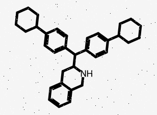 c1ccc2c(c1)CNC(C(c1ccc(C3CCCCC3)cc1)c1ccc(C3CCCCC3)cc1)C2